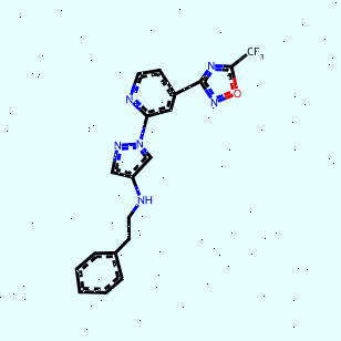 FC(F)(F)c1nc(-c2ccnc(-n3cc(NCCc4ccccc4)cn3)c2)no1